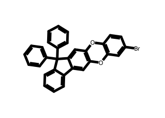 Brc1ccc2c(c1)Oc1cc3c(cc1O2)C(c1ccccc1)(c1ccccc1)c1ccccc1-3